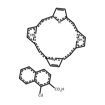 C1=Cc2cc3ccc(cc4nc(cc5ccc(cc1n2)[nH]5)C=C4)[nH]3.O=C(O)c1ccc2ccccc2[c]1[Cd]